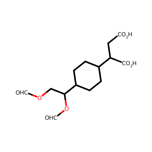 O=COCC(OC=O)C1CCC(C(CC(=O)O)C(=O)O)CC1